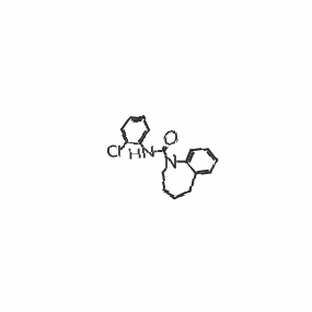 O=C(Nc1ccccc1Cl)N1CCCCc2ccccc21